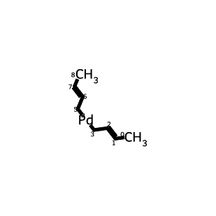 CC=C[CH2][Pd][CH2]C=CC